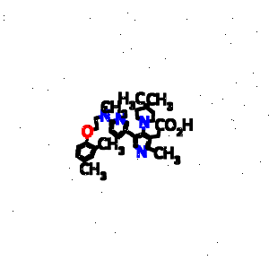 Cc1ccc(OCCN(C)c2ccc(-c3cnc(C)c(CC(=O)O)c3N3CCC(C)(C)CC3)cn2)c(C)c1